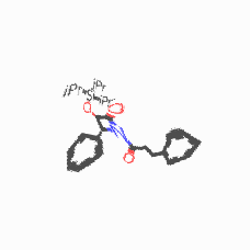 CC(C)[Si](O[C@H]1C(=O)N(C(=O)CCc2ccccc2)[C@H]1c1ccccc1)(C(C)C)C(C)C